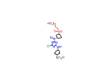 CCN(c1cccc(S(=O)(=O)CCOS(=O)(=O)O)c1)c1nc(Cl)nc(Nc2ccc(S(=O)(=O)O)cc2)n1